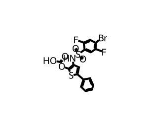 O=C(O)Oc1sc(-c2ccccc2)cc1NS(=O)(=O)c1cc(F)c(Br)cc1F